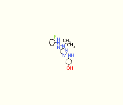 CC(C)n1c(Nc2ccccc2F)nc2cnc(NC3CCC(O)CC3)nc21